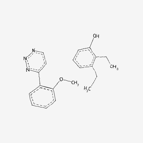 CCc1cccc(O)c1CC.COc1ccccc1-c1ccnnn1